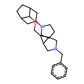 c1ccc(CN2CC3C(COC4C5CCC4CC(N4CCCC4)C5)C3C2)cc1